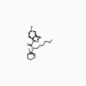 COCCOCN(C(=O)c1n[nH]c2cc(Br)ccc12)[C@@H]1CN2CCC1CC2